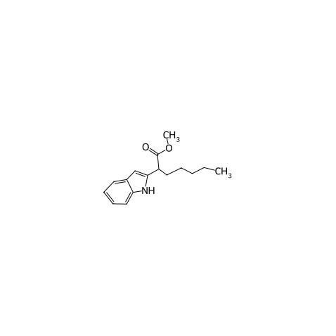 CCCCCC(C(=O)OC)c1cc2ccccc2[nH]1